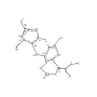 CCC(C)N1COCc2c1cc(C)nc2Oc1c(C)cc(C)cc1C